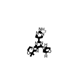 CC1(C)OCCn2c1nc1c(N3C[C@@H]4C[C@H]3CO4)nc(-c3cnc(N)nc3)nc12